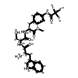 COC(=O)[C@H](Cc1ccc(OC(=O)C(F)(F)F)cc1)NC(=O)[C@H](CO)NC(=O)[C@@H](N)Cc1c[nH]c2ccccc12